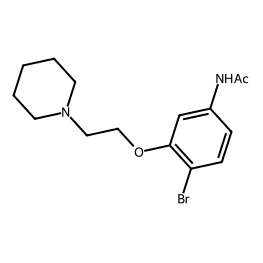 CC(=O)Nc1ccc(Br)c(OCCN2CCCCC2)c1